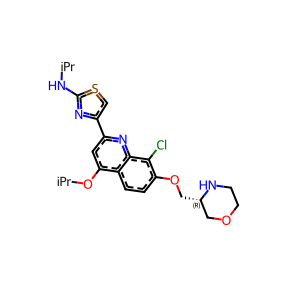 CC(C)Nc1nc(-c2cc(OC(C)C)c3ccc(OC[C@H]4COCCN4)c(Cl)c3n2)cs1